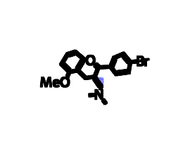 COc1ccccc1C/C(=C\N(C)C)C(=O)c1ccc(Br)cc1